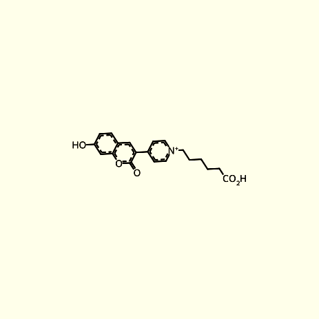 O=C(O)CCCCC[n+]1ccc(-c2cc3ccc(O)cc3oc2=O)cc1